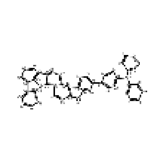 c1ccc(N(c2ccccc2)c2ccc(-c3ccc4c(c3)oc3ccc5c(ccc6c7cccc8c9ccccc9n(c56)c87)c34)cc2)cc1